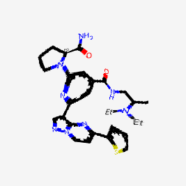 CCN(CC)C(C)CNC(=O)c1cc(-c2cnn3ccc(-c4cccs4)nc23)nc(N2CCC[C@H]2C(N)=O)c1